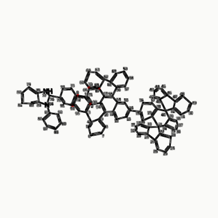 c1ccc(-c2ccccc2-c2c3ccc(-c4ccc5c(c4)C4(c6ccccc6-c6ccccc64)c4ccccc4C54c5ccccc5-c5ccccc54)cc3c(-c3ccccc3-c3ccccc3)c3ccc(-c4ccc(C5Nc6ccccc6N5c5ccccc5)cc4)cc23)cc1